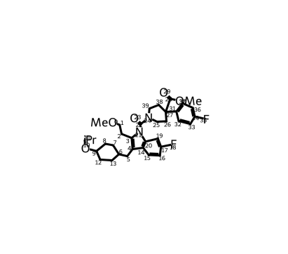 COCCc1c(CC2CCC(OC(C)C)CC2)c2ccc(F)cc2n1C(=O)N1CCC(C(=O)OC)(c2ccc(F)cc2)CC1